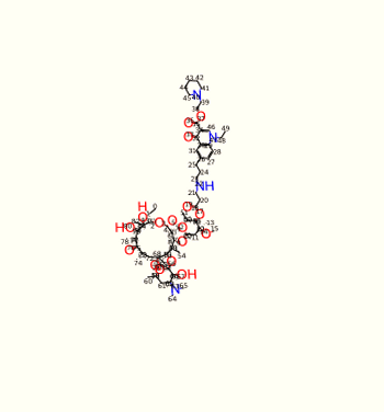 CC[C@@H]1OC(=O)[C@H](C)[C@H](O[C@@H]2C[C@](C)(OC)[C@H](OC(=O)CCNCCCc3ccc4c(c3)c(=O)c(C(=O)OCCN3CCCCC3)cn4CC)[C@H](C)O2)[C@@H](C)[C@H](O[C@@H]2O[C@H](C)C[C@H](N(C)C)[C@@H]2O)[C@](C)(OC)C[C@H](C)C(=O)[C@H](C)[C@@H](O)[C@]1(C)O